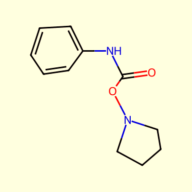 O=C(Nc1ccccc1)ON1CCCC1